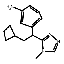 Cn1cnnc1C(CC1CCC1)c1cccc(N)c1